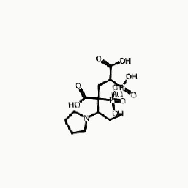 CCC(N1CCCC1)C(CC(C(=O)O)P(=O)(O)O)(C(=O)O)P(=O)(O)O